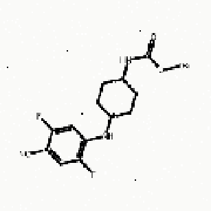 CC(C)(C)OC(=O)NC1CCC(Nc2cc(F)c(C#N)cc2F)CC1